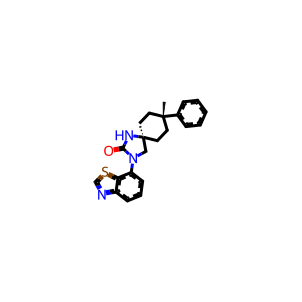 C[C@]1(c2ccccc2)CC[C@]2(CC1)CN(c1cccc3ncsc13)C(=O)N2